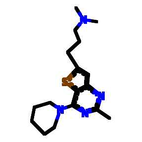 Cc1nc(N2CCCCC2)c2sc(CCCN(C)C)cc2n1